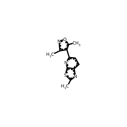 Cc1nc2ccc(-c3c(C)noc3C)nc2s1